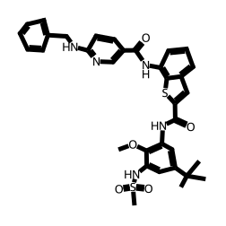 COc1c(NC(=O)c2cc3cccc(NC(=O)c4ccc(NCc5ccccc5)nc4)c3s2)cc(C(C)(C)C)cc1NS(C)(=O)=O